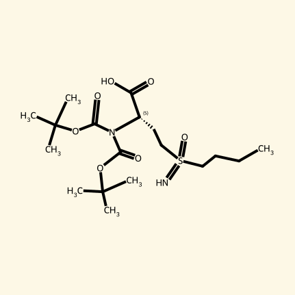 CCCCS(=N)(=O)CC[C@@H](C(=O)O)N(C(=O)OC(C)(C)C)C(=O)OC(C)(C)C